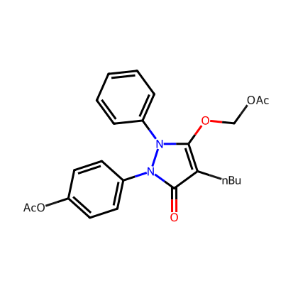 CCCCc1c(OCOC(C)=O)n(-c2ccccc2)n(-c2ccc(OC(C)=O)cc2)c1=O